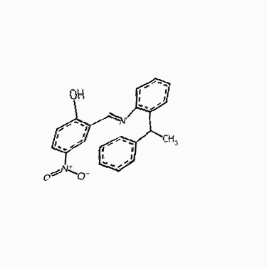 CC(c1ccccc1)c1ccccc1/N=C/c1cc([N+](=O)[O-])ccc1O